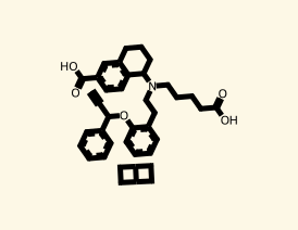 C#CC(Oc1ccccc1CCN(CCCCC(=O)O)C1CCCc2cc(C(=O)O)ccc21)c1ccccc1.C1CC2CCC12